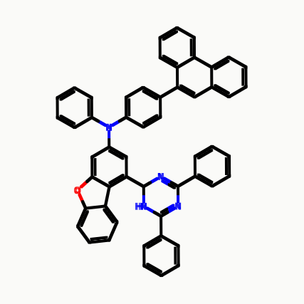 c1ccc(C2=NC(c3cc(N(c4ccccc4)c4ccc(-c5cc6ccccc6c6ccccc56)cc4)cc4oc5ccccc5c34)NC(c3ccccc3)=N2)cc1